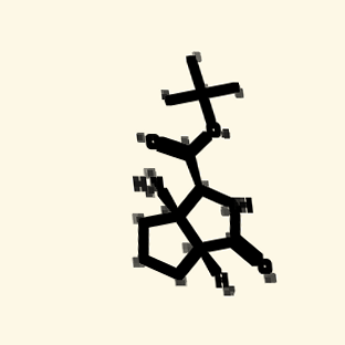 CC(C)(C)OC(=O)[C@H]1NC(=O)[C@@H]2CCC[C@]12N